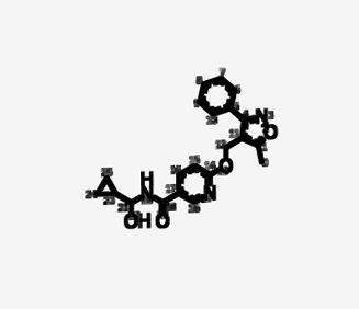 Cc1onc(-c2ccccc2)c1COc1ccc(C(=O)NC(O)C2CC2)cn1